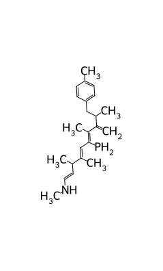 C=C(/C(C)=C(P)/C=C(\C)C(C)/C=C/NC)C(C)Cc1ccc(C)cc1